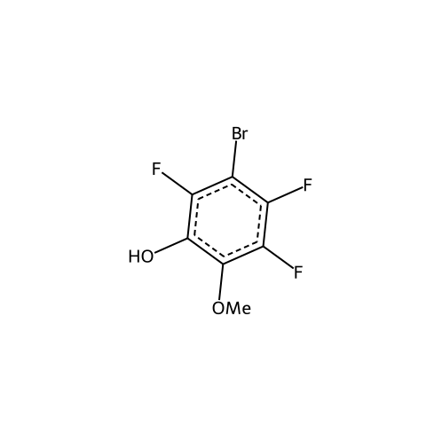 COc1c(O)c(F)c(Br)c(F)c1F